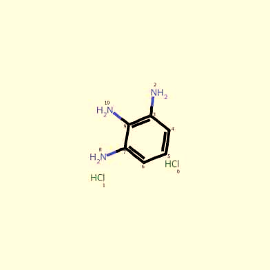 Cl.Cl.Nc1cccc(N)c1N